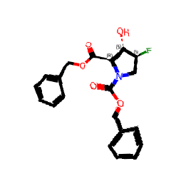 O=C(OCc1ccccc1)[C@H]1[C@H](O)[C@@H](F)CN1C(=O)OCc1ccccc1